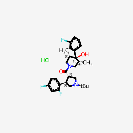 C[C@@H]1CN(C(=O)[C@@H]2CN(C(C)(C)C)C[C@H]2c2ccc(F)cc2F)C[C@H](C)[C@]1(O)c1cccc(F)c1.Cl